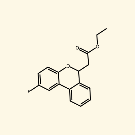 CCOC(=O)CC1Oc2ccc(F)cc2-c2ccccc21